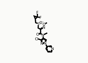 CON=C(C[S+]([O-])CC1CC1(F)F)C(=O)N(C)c1cn(-c2cccnc2)nc1Cl